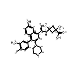 Cc1cc(-c2c(C3CCOCC3)nc(C(=O)NC3(C)CC(C)(C(=O)O)C3)c3cc(O)ccc23)ccc1F